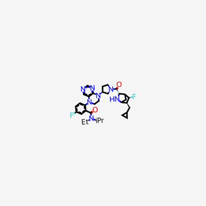 CCN(C(=O)c1cc(F)ccc1N1CCN([C@H]2CCN(C(=O)[C@H]3NC4CC3[C@@H](F)[C@H]4CC3CC3)C2)c2ncncc21)C(C)C